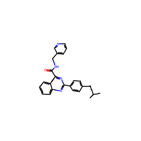 CC(C)Cc1ccc(-c2nc(C(=O)NCc3cccnc3)c3ccccc3n2)cc1